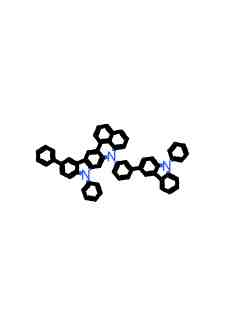 c1ccc(-c2ccc3c(c2)c2cc4c(cc2n3-c2ccccc2)N(c2cccc(-c3ccc5c(c3)c3ccccc3n5-c3ccccc3)c2)c2cccc3cccc-4c23)cc1